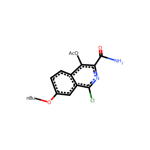 CCCCOc1ccc2c(OC(C)=O)c(C(N)=O)nc(Cl)c2c1